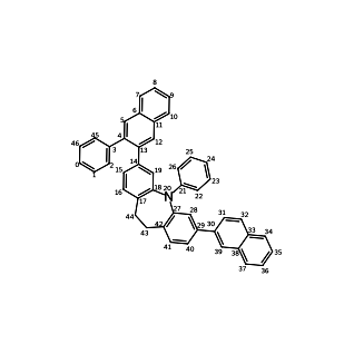 c1ccc(-c2cc3ccccc3cc2-c2ccc3c(c2)N(c2ccccc2)c2cc(-c4ccc5ccccc5c4)ccc2CC3)cc1